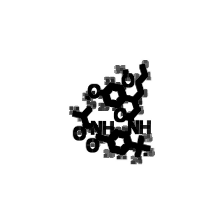 CCCCC(CC(=O)Nc1cc(C(=O)NC(=O)C(C)C)ccc1C(C)(C)C)c1ccc(OC)cc1OC